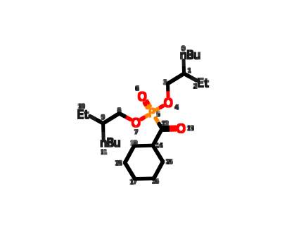 CCCCC(CC)COP(=O)(OCC(CC)CCCC)C(=O)C1CCCCC1